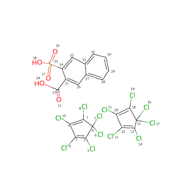 ClC1=C(Cl)C(Cl)(Cl)C(Cl)=C1Cl.ClC1=C(Cl)C(Cl)(Cl)C(Cl)=C1Cl.O=C(O)c1cc2ccccc2cc1S(=O)(=O)O